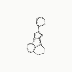 c1ccc(-c2cn3c4cccc5c4n(c3n2)CCC5)cc1